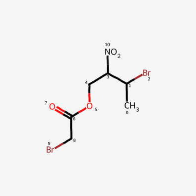 CC(Br)C(COC(=O)CBr)[N+](=O)[O-]